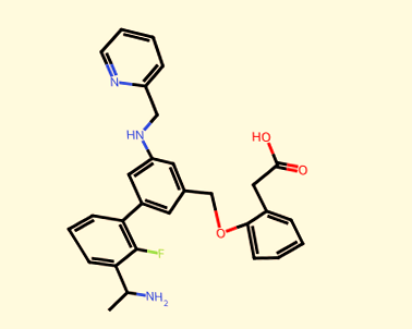 CC(N)c1cccc(-c2cc(COc3ccccc3CC(=O)O)cc(NCc3ccccn3)c2)c1F